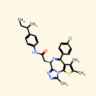 CCC(C)c1ccc(NC(=O)C[C@H]2N=C(c3ccc(Cl)cc3)c3c(sc(C)c3C)-n3c(C)nnc32)cc1